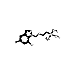 C[Si](C)(C)CCOCn1ncc2cc(I)cc(Br)c21